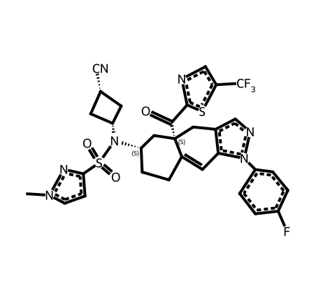 Cn1ccc(S(=O)(=O)N([C@H]2CCC3=Cc4c(cnn4-c4ccc(F)cc4)C[C@]3(C(=O)c3ncc(C(F)(F)F)s3)C2)[C@H]2C[C@@H](C#N)C2)n1